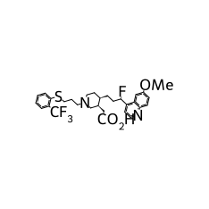 COc1ccc2nccc([C@@H](F)CC[C@@H]3CCN(CCCSc4ccccc4C(F)(F)F)C[C@@H]3CC(=O)O)c2c1